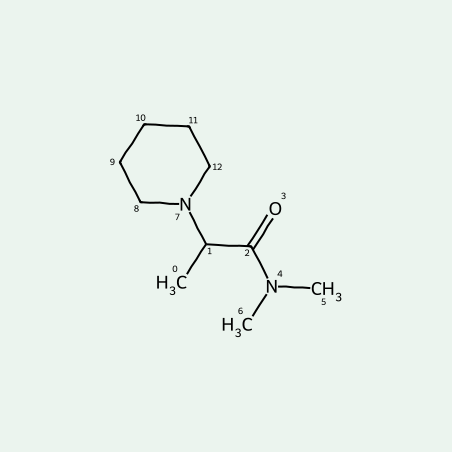 CC(C(=O)N(C)C)N1CCCCC1